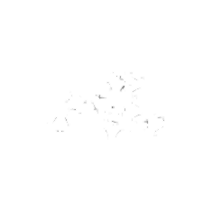 c1ccc(-c2cccc(-c3nc(-c4ccccc4)nc(-c4cccc5oc6c(-c7cccnc7)cc(-c7cccnc7)cc6c45)n3)c2)cc1